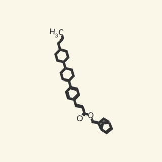 CCCC1CCC(C2CCC(c3ccc(/C=C/C(=O)OCC4CC5C=CC4C5)cc3)CC2)CC1